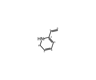 C=CC1=CC=CCN1